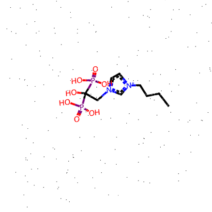 CCCC[n+]1ccn(CC(O)(P(=O)(O)O)P(=O)(O)O)c1